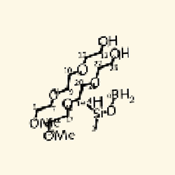 BO[SiH](C)C.COCCOCCOCCO.COCCOCCOCCO